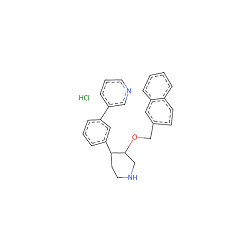 Cl.c1cncc(-c2cccc(C3CCNCC3OCc3ccc4ccccc4c3)c2)c1